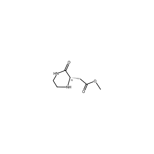 COC(=O)C[C@@H]1NCCNC1=O